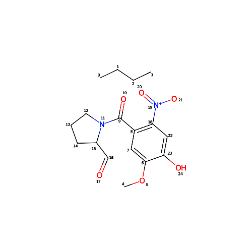 CCCC.COc1cc(C(=O)N2CCCC2C=O)c([N+](=O)[O-])cc1O